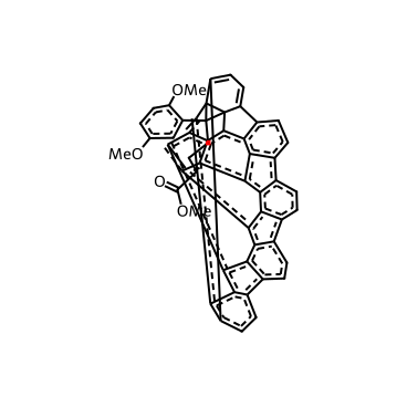 COC(=O)CCCC1(c2cc(OC)ccc2OC)C23C4=CC=C5c6ccc7c8ccc9c%10ccc%11c%12ccc4c4c2c2c%13c(c6c7c6c8c9c7c%10c%11c(c4%12)c2c7c%136)C513